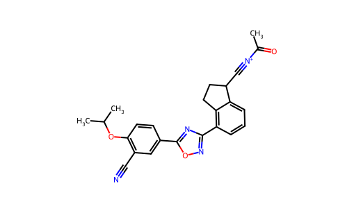 CC(=O)[N+]#CC1CCc2c(-c3noc(-c4ccc(OC(C)C)c(C#N)c4)n3)cccc21